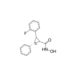 O=C(NO)C1C(c2ccccc2F)[C@H]1c1ccccc1